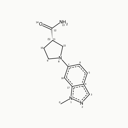 Cn1ncc2ccc(N3CC[C@H](C(N)=O)C3)cc21